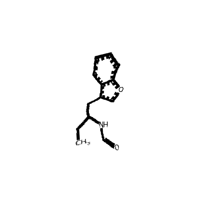 CCC(Cc1coc2ccccc12)NC=O